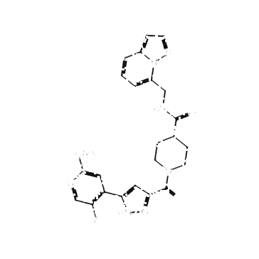 COc1cc(-c2cc(C(=O)N3CCC(C(=O)NCc4cccc5ccnn45)CC3)n[nH]2)c(Cl)cn1